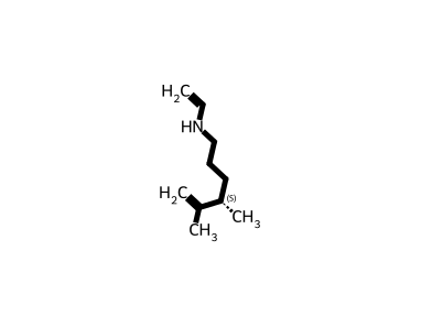 C=CNCCC[C@H](C)C(=C)C